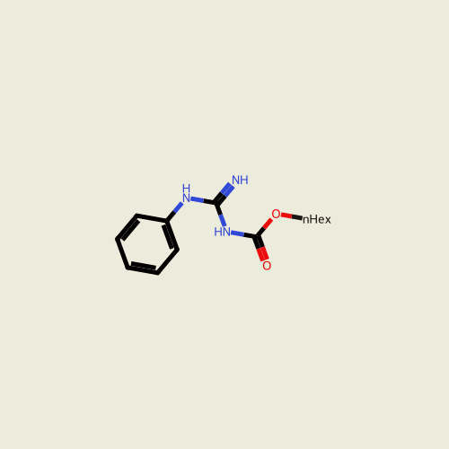 CCCCCCOC(=O)NC(=N)Nc1ccccc1